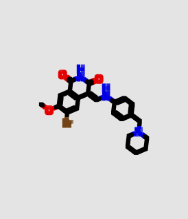 COc1cc2c(cc1Br)/C(=C/Nc1ccc(CN3CCCCC3)cc1)C(=O)NC2=O